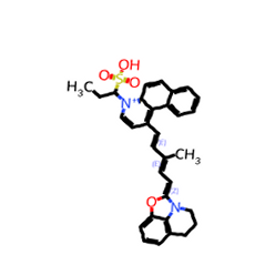 CCC([n+]1ccc(/C=C/C(C)=C/C=C2\Oc3cccc4c3N2CCC4)c2c3ccccc3ccc21)S(=O)(=O)O